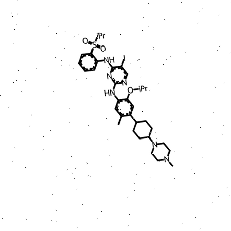 Cc1cc(Nc2ncc(I)c(Nc3ccccc3S(=O)(=O)C(C)C)n2)c(OC(C)C)cc1C1CCC(N2CCN(C)CC2)CC1